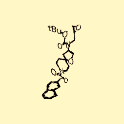 CC(C)(C)OC(=O)N(C[C@H]1CO1)C1COC2(CCN(S(=O)(=O)c3ccc4ccccc4c3)CC2)C1